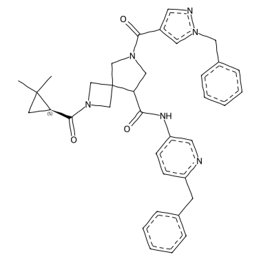 CC1(C)C[C@@H]1C(=O)N1CC2(CN(C(=O)c3cnn(Cc4ccccc4)c3)CC2C(=O)Nc2ccc(Cc3ccccc3)nc2)C1